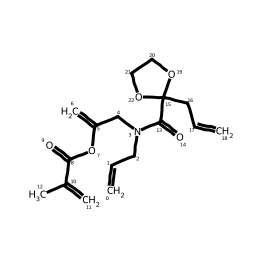 C=CCN(CC(=C)OC(=O)C(=C)C)C(=O)C1(CC=C)OCCO1